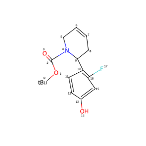 CC(C)(C)OC(=O)N1CC=CCC1c1ccc(O)cc1F